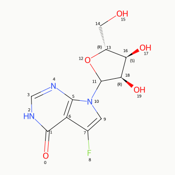 O=c1[nH]cnc2c1c(F)cn2C1O[C@H](CO)[C@@H](O)[C@H]1O